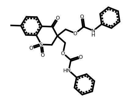 Cc1ccc2c(c1)S(=O)(=O)CC(COC(=O)Nc1ccccc1)(COC(=O)Nc1ccccc1)C2=O